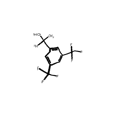 [2H]C(C)(O)c1cc(C(F)(F)F)cc(C(F)(F)F)c1